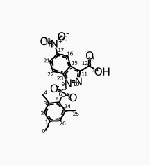 Cc1cc(C)c(S(=O)(=O)n2nc(C(=O)O)c3cc([N+](=O)[O-])ccc32)c(C)c1